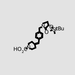 CC(C)(C)[Si](C)(C)O[C@H]1CCN(Cc2ccc(C=C3CCN(C(=O)O)CC3)cc2)C1=O